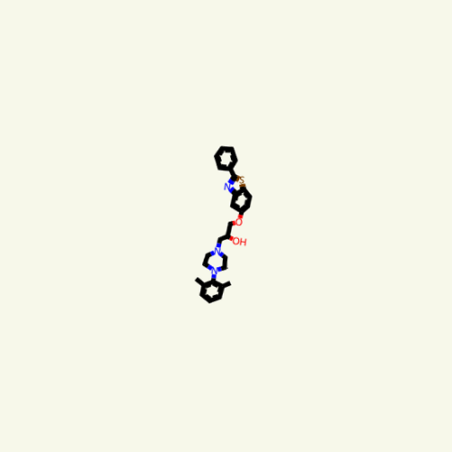 Cc1cccc(C)c1N1[CH]CN(CC(O)COc2ccc3sc(-c4ccccc4)nc3c2)CC1